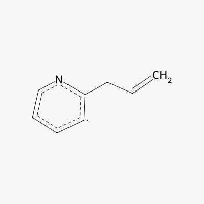 C=CCc1[c]cccn1